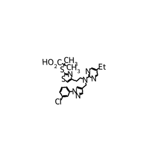 CCc1cnc(N(CCc2csc(SC(C)(C)C(=O)O)n2)Cc2cnn(-c3cccc(Cl)c3)c2)nc1